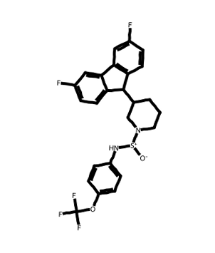 [O-][S+](Nc1ccc(OC(F)(F)F)cc1)N1CCCC(C2c3ccc(F)cc3-c3cc(F)ccc32)C1